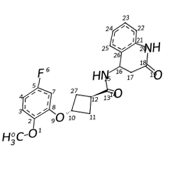 COc1ccc(F)cc1O[C@H]1C[C@H](C(=O)NC2CC(=O)Nc3ccccc32)C1